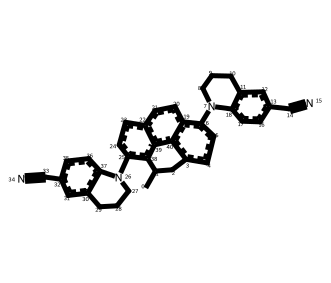 CC1Cc2ccc(N3CCCc4cc(C#N)ccc43)c3ccc4ccc(N5CCCc6cc(C#N)ccc65)c1c4c23